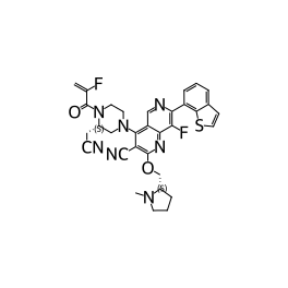 C=C(F)C(=O)N1CCN(c2c(C#N)c(OC[C@@H]3CCCN3C)nc3c(F)c(-c4cccc5ccsc45)ncc23)C[C@@H]1CC#N